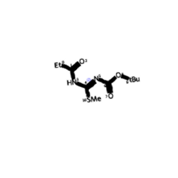 CCC(=O)N/C(=N/C(=O)OC(C)(C)C)SC